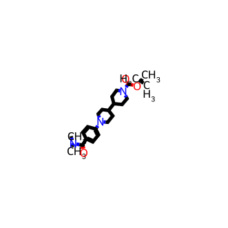 CN(C)C(=O)c1ccc(N2CCC(C3CCN(C(=O)OC(C)(C)C)CC3)CC2)cc1